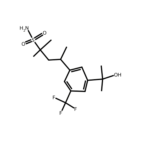 CC(CC(C)(C)S(N)(=O)=O)c1cc(C(C)(C)O)cc(C(F)(F)F)c1